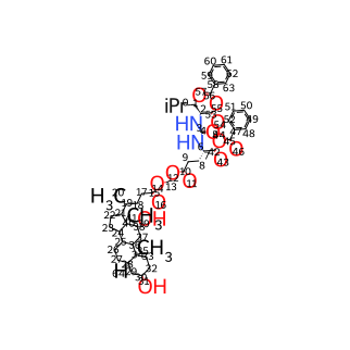 CC(C)C[C@H](NC(=O)N[C@@H](CCC(=O)OCOC(=O)CC[C@@H](C)C1CCC2C3CC[C@@H]4C[C@H](O)CC[C@]4(C)C3C[C@H](O)[C@@]21C)C(=O)OC(=O)c1ccccc1)C(=O)OC(=O)c1ccccc1